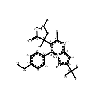 CCCC(C)(C(=O)O)c1c(C)nc2cc(C(C)(C)C)nn2c1-c1ccc(CC)cc1